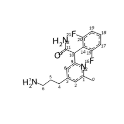 Cc1cc(CCCN)cc(C(C(N)=O)c2c(F)cccc2F)n1